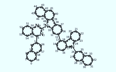 c1ccc2cc(-c3nc(-n4c5cc(-c6cccc7c6c6ccccc6n7-c6ccc7ccccc7c6)ccc5c5ccc6ccccc6c54)nc4ccccc34)ccc2c1